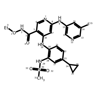 CCONC(=O)c1cnc(Nc2cncc(F)c2)cc1Nc1ccc(C2CC2)cc1NS(C)(=O)=O